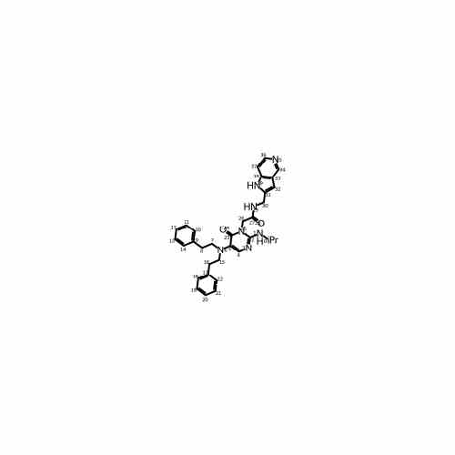 CC(C)Nc1ncc(N(CCc2ccccc2)CCc2ccccc2)c(=O)n1CC(=O)NCc1cc2cnccc2[nH]1